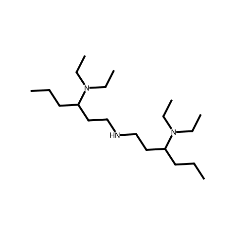 CCCC(CCNCCC(CCC)N(CC)CC)N(CC)CC